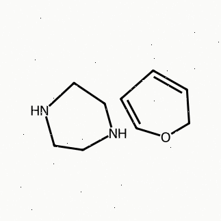 C1=CCOC=C1.C1CNCCN1